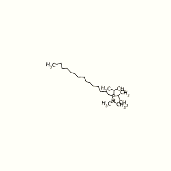 CCCCCCCCCCCCCCC[PH](C(C)C)(C(C)C)C(C)C